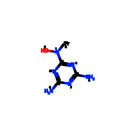 CC(C)N(O)c1nc(N)nc(N)n1